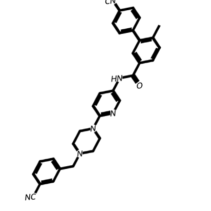 [C-]#[N+]c1ccc(-c2cc(C(=O)Nc3ccc(N4CCN(Cc5cccc(C#N)c5)CC4)nc3)ccc2C)cc1